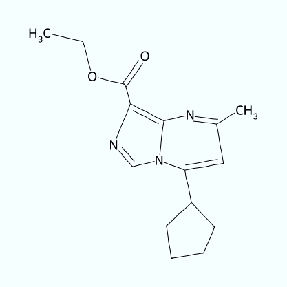 CCOC(=O)c1ncn2c(C3CCCC3)cc(C)nc12